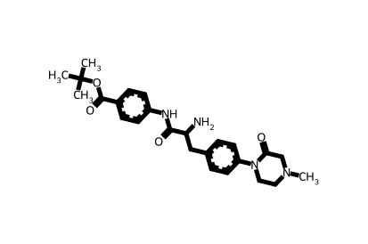 CN1CCN(c2ccc(CC(N)C(=O)Nc3ccc(C(=O)OC(C)(C)C)cc3)cc2)C(=O)C1